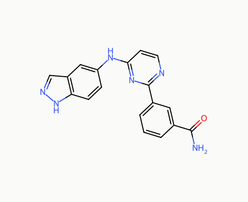 NC(=O)c1cccc(-c2nccc(Nc3ccc4[nH]ncc4c3)n2)c1